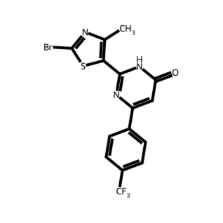 Cc1nc(Br)sc1-c1nc(-c2ccc(C(F)(F)F)cc2)cc(=O)[nH]1